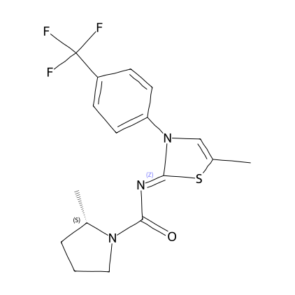 Cc1cn(-c2ccc(C(F)(F)F)cc2)/c(=N/C(=O)N2CCC[C@@H]2C)s1